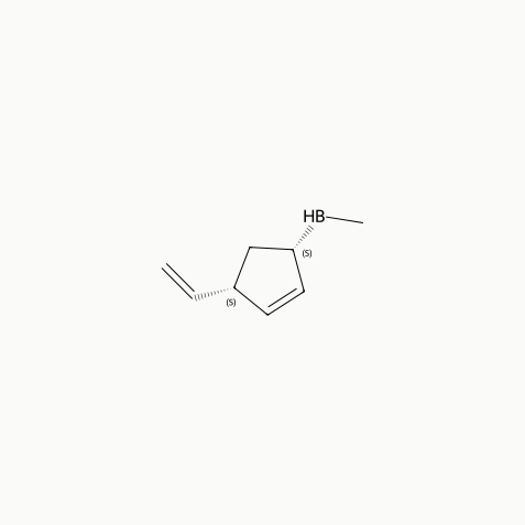 C=C[C@H]1C=C[C@@H](BC)C1